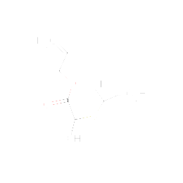 C=CCOC(=O)C(C)SC(C)C(=O)O